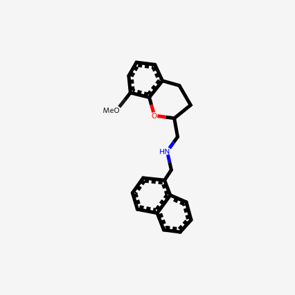 COc1cccc2c1OC(CNCc1cccc3ccccc13)CC2